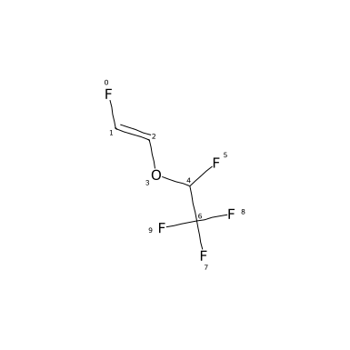 FC=COC(F)C(F)(F)F